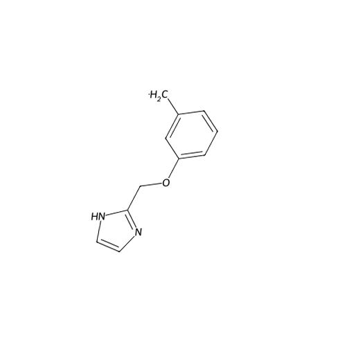 [CH2]c1cccc(OCc2ncc[nH]2)c1